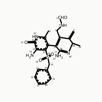 C=C1C(CNC=O)=C(c2c(C)[nH]c(=O)c(N)c2S(=O)(=O)Cc2ccccc2)C(N)=NC1C